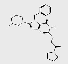 Cn1c(NCC(=O)N2CCCC2)nc2nc(N3CCCC(N)C3)n(Cc3ccccc3)c2c1=O